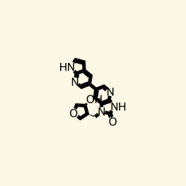 O=c1[nH]c2ncc(-c3cnc4[nH]ccc4c3)cc2n1C[C@@H]1COC[C@H]1O